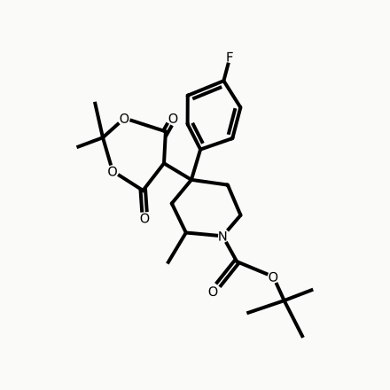 CC1CC(c2ccc(F)cc2)(C2C(=O)OC(C)(C)OC2=O)CCN1C(=O)OC(C)(C)C